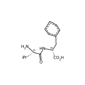 CC(C)[C@H](N)C(=O)N[C@H](Cc1ccccc1)C(=O)O